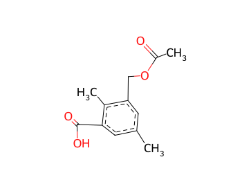 CC(=O)OCc1cc(C)cc(C(=O)O)c1C